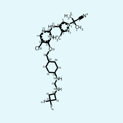 Cc1nn(C(C)(C)C#N)cc1Nc1ncc(Cl)c(OCC2CCC(NCNC3CC(F)(F)C3)CC2)n1